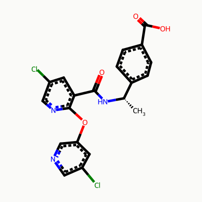 C[C@H](NC(=O)c1cc(Cl)cnc1Oc1cncc(Cl)c1)c1ccc(C(=O)O)cc1